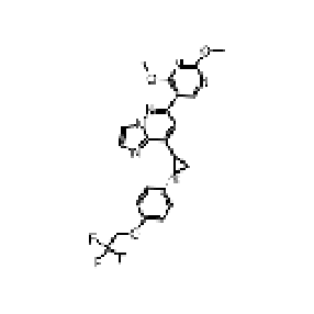 COc1ncc(-c2cc(C3C[C@@H]3c3ccc(OCC(F)(F)F)cc3)c3nccn3n2)c(OC)n1